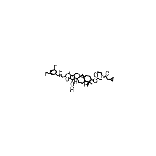 C[C@@H]1CC(CNCc2cc(F)cc(F)c2)OC2C1[C@@]1(C)CC[C@@]34CC35CCC(O[C@H]3CN(C(=O)CC6CC6)CCO3)C(C)(C)[C@@H]5CC[C@H]4[C@]1(C)[C@H]2O